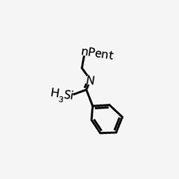 CCCCCCN=C([SiH3])c1ccccc1